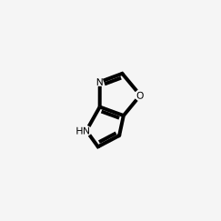 c1cc2ocnc2[nH]1